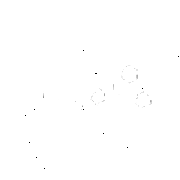 O=C(O)CCCNC(=O)c1cc(O)c(C(=O)NC(c2ccccc2)c2ccccc2)cn1